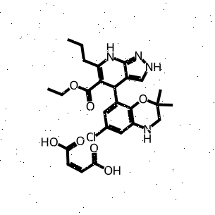 CCCC1=C(C(=O)OCC)C(c2cc(Cl)cc3c2OC(C)(C)CN3)c2c[nH]nc2N1.O=C(O)/C=C\C(=O)O